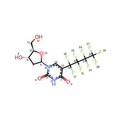 O=c1[nH]c(=O)n([C@H]2C[C@H](O)[C@@H](CO)O2)cc1C(F)(F)C(F)(F)C(F)(F)C(F)(F)F